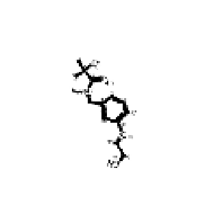 CCC(C)(C)C(=O)N(C)Cc1cccc(OCCO)c1